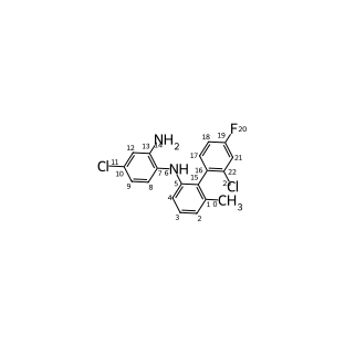 Cc1cccc(Nc2ccc(Cl)cc2N)c1-c1ccc(F)cc1Cl